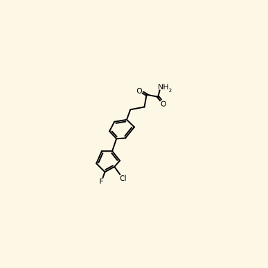 NC(=O)C(=O)CCc1ccc(-c2ccc(F)c(Cl)c2)cc1